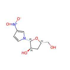 O=[N+]([O-])c1ccn([C@@H]2O[C@H](CO)C[C@H]2O)c1